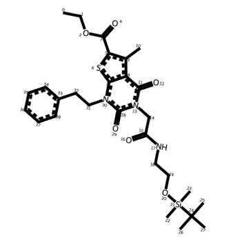 CCOC(=O)c1sc2c(c1C)c(=O)n(CC(=O)NCCO[Si](C)(C)C(C)(C)C)c(=O)n2CCc1ccccc1